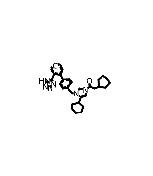 O=C(CC1CCCCC1)N1C=C(C2CCCCC2)N(Cc2ccc(-c3ccccc3-c3nnn[nH]3)cc2)C1